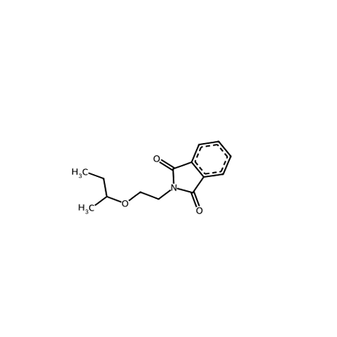 CCC(C)OCCN1C(=O)c2ccccc2C1=O